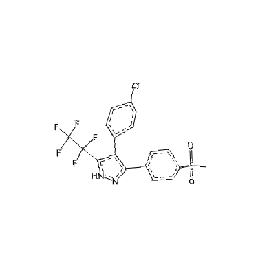 CS(=O)(=O)c1ccc(-c2n[nH]c(C(F)(F)C(F)(F)F)c2-c2ccc(Cl)cc2)cc1